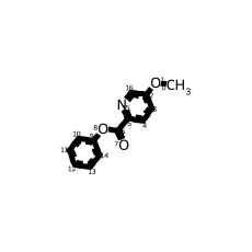 COc1ccc(C(=O)Oc2ccccc2)nc1